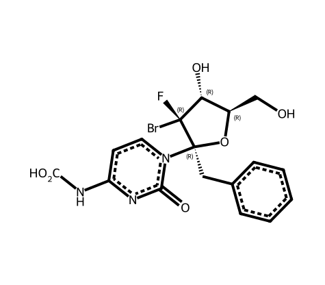 O=C(O)Nc1ccn([C@]2(Cc3ccccc3)O[C@H](CO)[C@@H](O)[C@@]2(F)Br)c(=O)n1